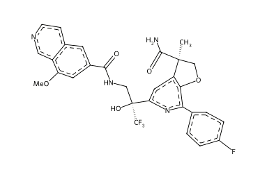 COc1cc(C(=O)NC[C@](O)(c2cc3c(c(-c4ccc(F)cc4)n2)OC[C@]3(C)C(N)=O)C(F)(F)F)cc2ccncc12